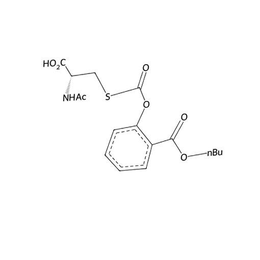 CCCCOC(=O)c1ccccc1OC(=O)SC[C@H](NC(C)=O)C(=O)O